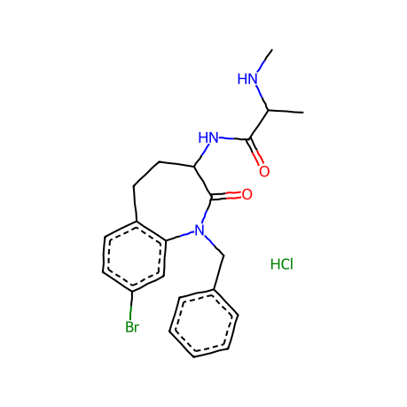 CNC(C)C(=O)NC1CCc2ccc(Br)cc2N(Cc2ccccc2)C1=O.Cl